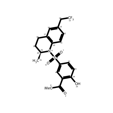 COC(=O)c1cc(S(=O)(=O)N2c3ccc(CC(F)(F)F)cc3CC[C@@H]2C)ccc1O